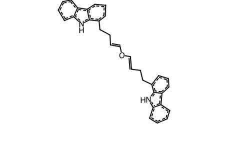 C(=COC=CCCc1cccc2c1[nH]c1ccccc12)CCc1cccc2c1[nH]c1ccccc12